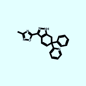 Cc1noc(-c2n[nH]c3c2C=CC(c2ccccc2)(c2ccccn2)C3)n1